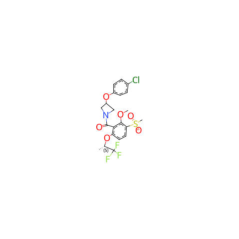 COc1c(S(C)(=O)=O)ccc(O[C@@H](C)C(F)(F)F)c1C(=O)N1CC(Oc2ccc(Cl)cc2)C1